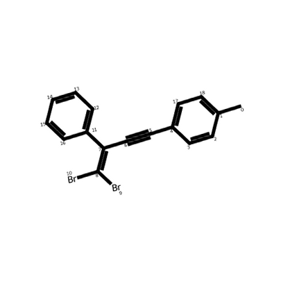 Cc1ccc(C#CC(=C(Br)Br)c2ccccc2)cc1